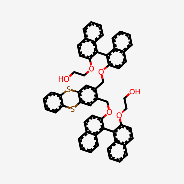 OCCOc1ccc2ccccc2c1-c1c(OCc2cc3c(cc2COc2ccc4ccccc4c2-c2c(OCCO)ccc4ccccc24)Sc2ccccc2S3)ccc2ccccc12